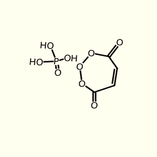 O=C1C=CC(=O)OOO1.O=P(O)(O)O